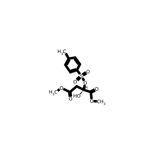 COC(=O)C[C@@](O)(OS(=O)(=O)c1ccc(C)cc1)C(=O)OC